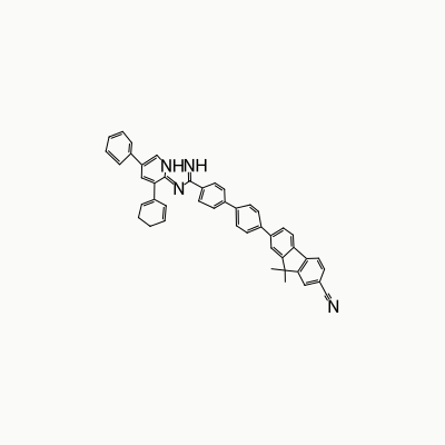 CC1(C)c2cc(C#N)ccc2-c2ccc(-c3ccc(-c4ccc(C(=N)/N=c5\[nH]cc(-c6ccccc6)cc5C5=CCCC=C5)cc4)cc3)cc21